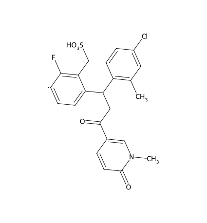 Cc1cc(Cl)ccc1C(CC(=O)c1ccc(=O)n(C)c1)c1cc[c]c(F)c1CS(=O)(=O)O